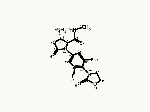 CNC(=S)C1[C@@H](N)OC(=O)N1c1cc(F)c(N2CCOC2=O)c(F)c1